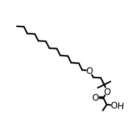 CCCCCCCCCCCCCOCCC(C)(C)OC(=O)C(C)O